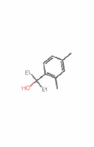 CCC(O)(CC)c1ccc(C)cc1C